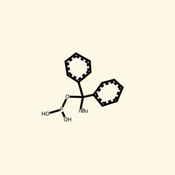 CCCCC(OP(O)O)(c1ccccc1)c1ccccc1